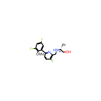 COc1c(F)cc(F)cc1-c1ccc(F)c(CN[C@@H](CO)C(C)C)n1